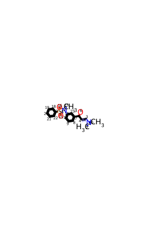 CN(C)/C=C/C(=O)c1cccc(N(C)S(=O)(=O)c2ccccc2)c1